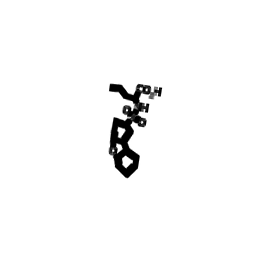 C=CCC(NS(=O)(=O)c1ccc2oc3ccccc3c2c1)C(=O)O